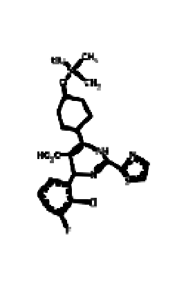 CC(C)(C)[Si](C)(C)OC1CCC(C2=C(C(=O)O)C(c3cccc(F)c3Cl)N=C(c3nccs3)N2)CC1